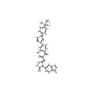 Cn1ccc2cc(N3C(=O)CS/C3=N\C(=O)Nc3ccc(-c4ncn(-c5ccc(C(F)(F)C(F)(F)F)cc5)n4)cc3F)ccc21